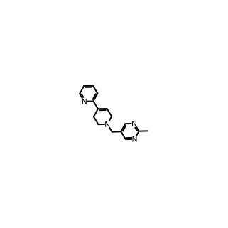 Cc1ncc(CN2CC=C(c3ccccn3)CC2)cn1